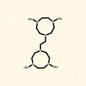 CCCCN1CCN(CCCC)CCN(CCN2CCN(CCCC)CCN(CCCC)CC2)CC1